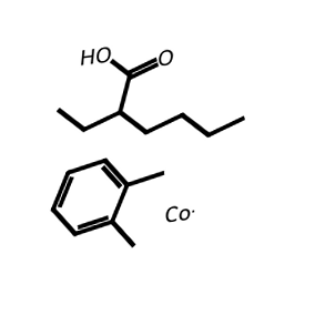 CCCCC(CC)C(=O)O.Cc1ccccc1C.[Co]